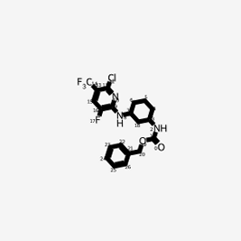 O=C(NC1CCCC(Nc2nc(Cl)c(C(F)(F)F)cc2F)C1)OCc1ccccc1